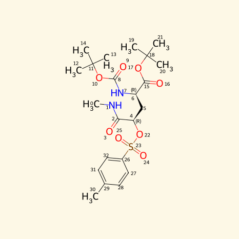 CNC(=O)[C@@H](C[C@@H](NC(=O)OC(C)(C)C)C(=O)OC(C)(C)C)OS(=O)(=O)c1ccc(C)cc1